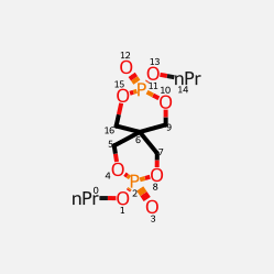 CCCOP1(=O)OCC2(CO1)COP(=O)(OCCC)OC2